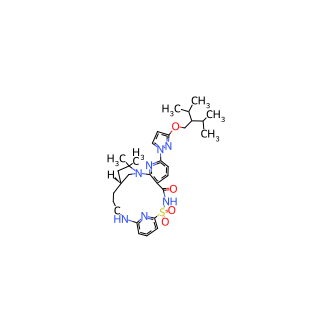 CC(C)C(COc1ccn(-c2ccc3c(n2)N2C[C@H](CCCNc4cccc(n4)S(=O)(=O)NC3=O)CC2(C)C)n1)C(C)C